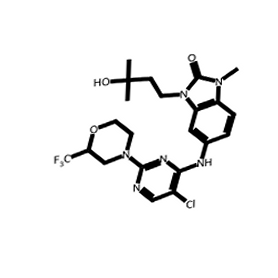 Cn1c(=O)n(CCC(C)(C)O)c2cc(Nc3nc(N4CCOC(C(F)(F)F)C4)ncc3Cl)ccc21